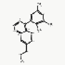 Cc1cc(C)c(C)c(-c2ncnc3cc(CCC(F)(F)F)ccc23)c1